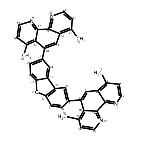 Cc1ccnc2c1cc(-c1ccc3oc4ccc(-c5cc6c(C)ccnc6c6nccc(C)c56)cc4c3c1)c1c(C)ccnc12